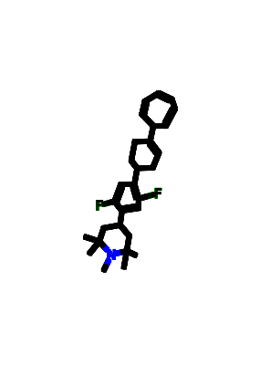 CN1C(C)(C)CC(c2cc(F)c(C3CC=C(C4C=CC=CC=C4)CC3)cc2F)CC1(C)C